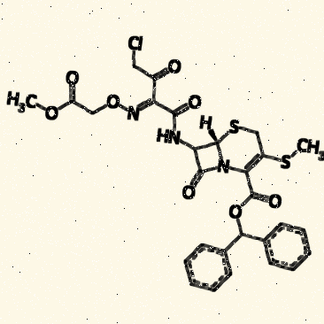 COC(=O)CON=C(C(=O)CCl)C(=O)NC1C(=O)N2C(C(=O)OC(c3ccccc3)c3ccccc3)=C(SC)CS[C@@H]12